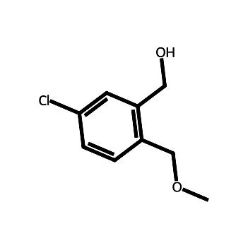 COCc1ccc(Cl)cc1CO